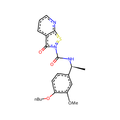 CCCCOc1ccc([C@H](C)NC(=O)n2sc3ncccc3c2=O)cc1OC